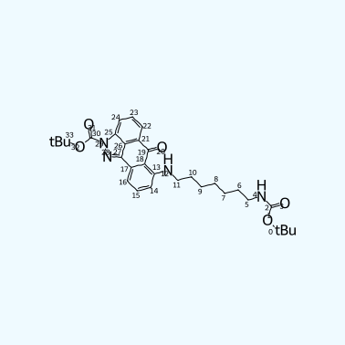 CC(C)(C)OC(=O)NCCCCCCCNc1cccc2c1C(=O)c1cccc3c1c-2nn3C(=O)OC(C)(C)C